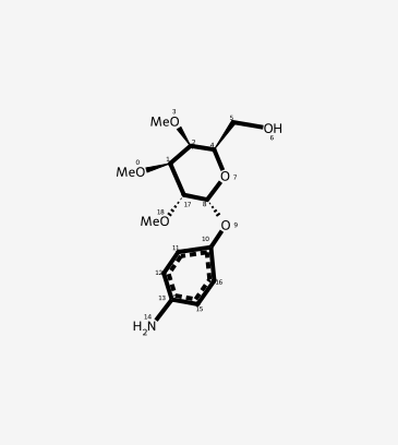 CO[C@H]1[C@@H](OC)[C@@H](CO)O[C@H](Oc2ccc(N)cc2)[C@@H]1OC